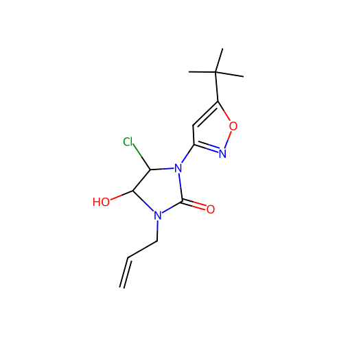 C=CCN1C(=O)N(c2cc(C(C)(C)C)on2)C(Cl)C1O